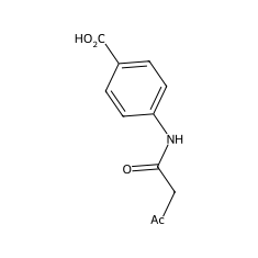 CC(=O)CC(=O)Nc1ccc(C(=O)O)cc1